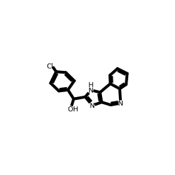 OC(c1ccc(Cl)cc1)c1nc2cnc3ccccc3c2[nH]1